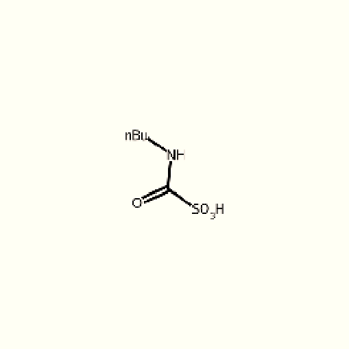 CCCCNC(=O)S(=O)(=O)O